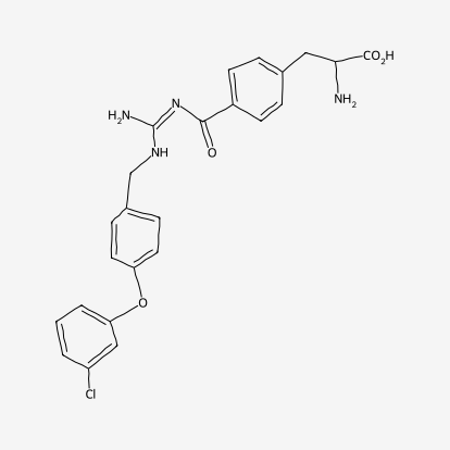 NC(=NC(=O)c1ccc(CC(N)C(=O)O)cc1)NCc1ccc(Oc2cccc(Cl)c2)cc1